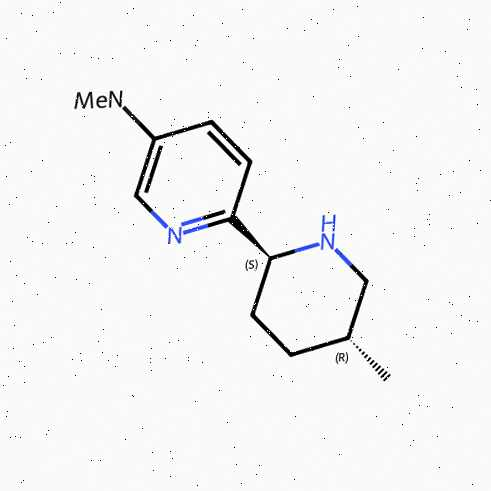 CNc1ccc([C@@H]2CC[C@@H](C)CN2)nc1